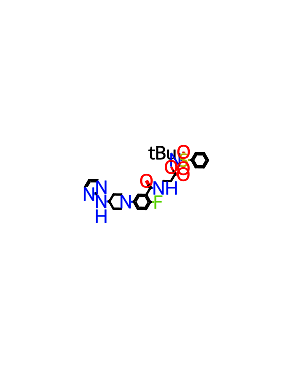 CC(C)(C)N(OC(=O)CCNC(=O)c1cc(N2CCC(Nc3ncccn3)CC2)ccc1F)S(=O)(=O)c1ccccc1